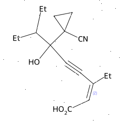 CC/C(C#CC(O)(C(CC)CC)C1(C#N)CC1)=C/C(=O)O